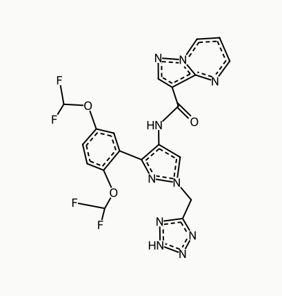 O=C(Nc1cn(Cc2nn[nH]n2)nc1-c1cc(OC(F)F)ccc1OC(F)F)c1cnn2cccnc12